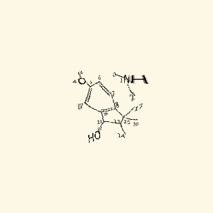 CNC.COc1ccc2c(c1)C(O)C(C)C2(C)C